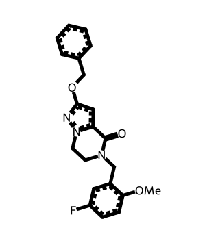 COc1ccc(F)cc1CN1CCn2nc(OCc3ccccc3)cc2C1=O